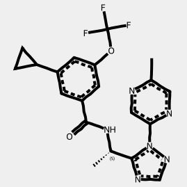 Cc1cnc(-n2ncnc2[C@H](C)NC(=O)c2cc(OC(F)(F)F)cc(C3CC3)c2)cn1